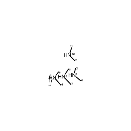 CNC.CNC.CNC.CNC.[Ti+4]